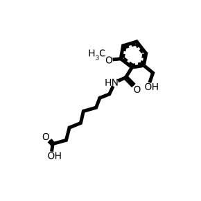 COc1cccc(CO)c1C(=O)NCCCCCCCC(=O)O